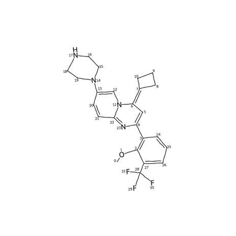 COc1c(C2=CC(=C3CCC3)N3C=C(N4CCNCC4)C=CC3=N2)cccc1C(F)(F)F